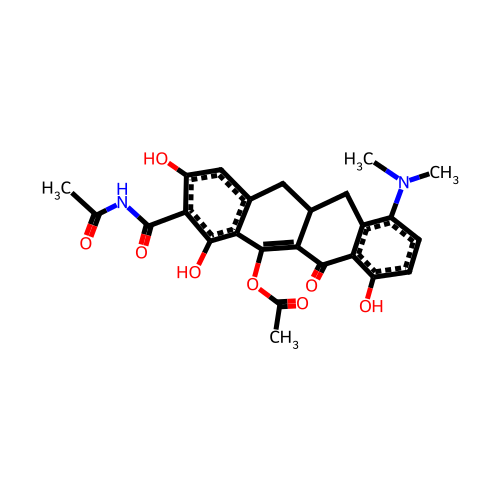 CC(=O)NC(=O)c1c(O)cc2c(c1O)C(OC(C)=O)=C1C(=O)c3c(O)ccc(N(C)C)c3CC1C2